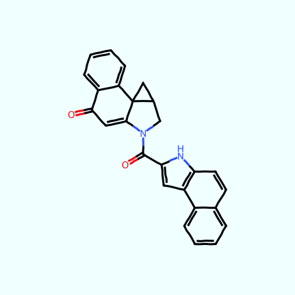 O=C1C=C2N(C(=O)c3cc4c(ccc5ccccc54)[nH]3)CC3CC23c2ccccc21